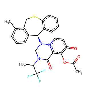 CC(=O)Oc1c2n(ccc1=O)N([C@@H]1c3ccccc3SCc3c(C)cccc31)CN([C@H](C)C(F)(F)F)C2=O